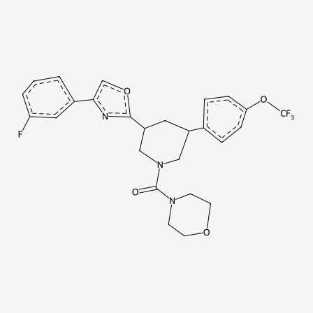 O=C(N1CCOCC1)N1CC(c2ccc(OC(F)(F)F)cc2)CC(c2nc(-c3cccc(F)c3)co2)C1